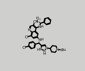 C[C@H](Nc1c(C#N)cnc2c(Cl)cc(N[C@H](C3=CN(C4CCN(C(C)(C)C)CC4)NN3)c3ccc(Cl)cc3)cc12)c1ccccc1